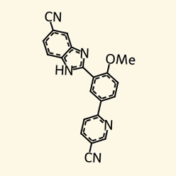 COc1ccc(-c2ccc(C#N)cn2)cc1-c1nc2cc(C#N)ccc2[nH]1